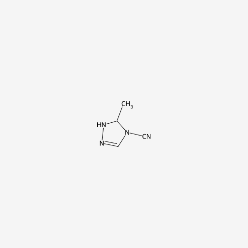 CC1NN=CN1C#N